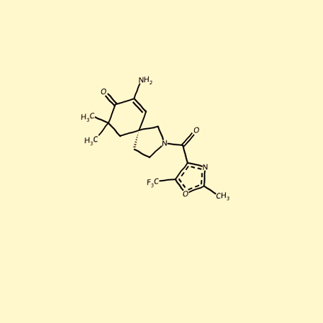 Cc1nc(C(=O)N2CC[C@]3(C=C(N)C(=O)C(C)(C)C3)C2)c(C(F)(F)F)o1